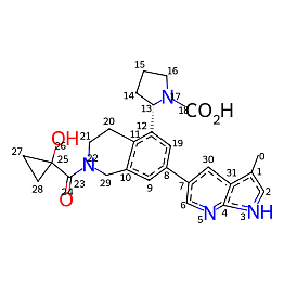 Cc1c[nH]c2ncc(-c3cc4c(c([C@@H]5CCCN5C(=O)O)c3)CCN(C(=O)C3(O)CC3)C4)cc12